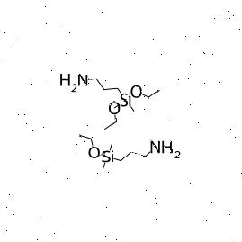 CCO[Si](C)(C)CCCN.CCO[Si](C)(CCCN)OCC